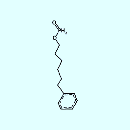 O=[PH2]OCCCCCCc1ccccc1